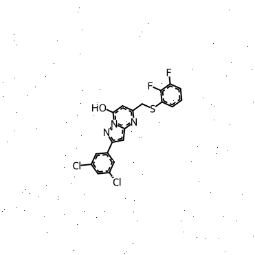 Oc1cc(CSc2cccc(F)c2F)nc2cc(-c3cc(Cl)cc(Cl)c3)nn12